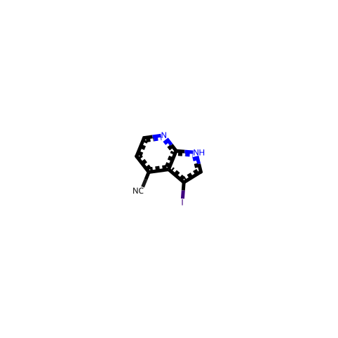 N#Cc1ccnc2[nH]cc(I)c12